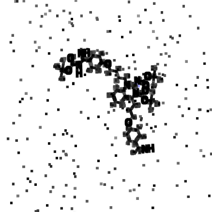 CC(=N)c1ccc(OCCCCN(C(=O)OC(C)(C)C)/C(=N\C(=O)OC(C)(C)C)N(CCCCOc2ccc(C(=N)NC(=O)OC(C)(C)C)cc2)c2ccccc2)cc1